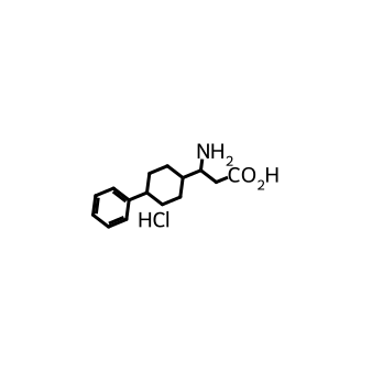 Cl.NC(CC(=O)O)C1CCC(c2ccccc2)CC1